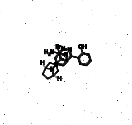 Nc1nnc(-c2ccccc2O)cc1N1C[C@H]2CC[C@@H](C1)N2c1ccnc(Br)c1